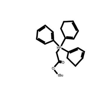 CC(C)(C)OC(=O)C[PH](C1=CC=CCC1)(C1=CC=CCC1)c1ccccc1